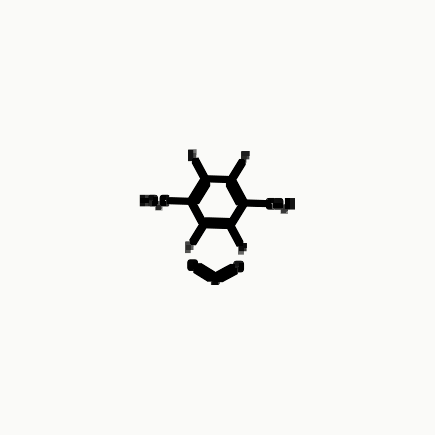 O=C(O)c1c(F)c(F)c(C(=O)O)c(F)c1F.O=S=O